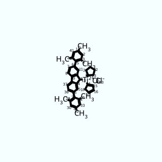 Cc1cc(C)c(-c2ccc3c(c2)[CH]([Ti+2]([C]2=CC=CC2)=[C]2CCCC2)c2cc(-c4c(C)cc(C)cc4C)ccc2-3)c(C)c1.[Cl-].[Cl-]